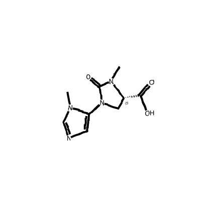 CN1C(=O)N(c2cncn2C)C[C@H]1C(=O)O